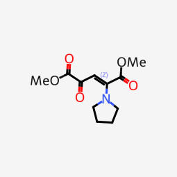 COC(=O)C(=O)/C=C(/C(=O)OC)N1CCCC1